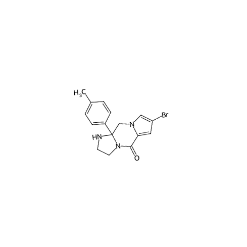 Cc1ccc(C23Cn4cc(Br)cc4C(=O)N2CCN3)cc1